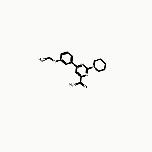 CCOc1cccc(-c2cc(C(N)=O)nc(N3CCCCC3)n2)c1